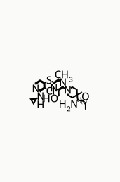 Cc1nc(N2CCC3(CC2)CO[C@@H](I)[C@H]3N)c(CO)nc1Sc1ccnc(NC2CC2)c1Cl